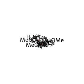 COc1ccc(CN(Cc2ccc(OC)cc2)S(=O)(=O)c2c(C(F)(F)F)ccc(C3CCC(N)CC3)c2-c2nnnn2Cc2ccc(OC)cc2)cc1